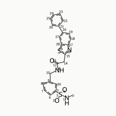 CNS(=O)(=O)c1cccc(CNC(=O)Cc2nc3ccc(-c4ccccc4)cc3s2)c1